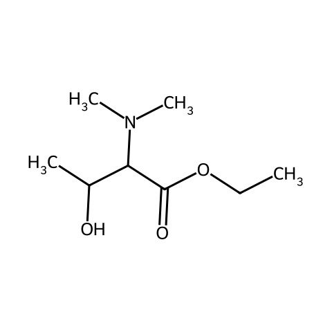 CCOC(=O)C(C(C)O)N(C)C